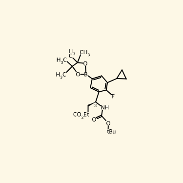 CCOC(=O)C[C@H](NC(=O)OC(C)(C)C)c1cc(B2OC(C)(C)C(C)(C)O2)cc(C2CC2)c1F